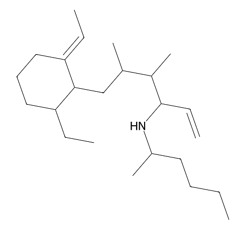 C=CC(NC(C)CCCC)C(C)C(C)CC1/C(=C/C)CCCC1CC